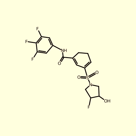 O=C(Nc1cc(F)c(F)c(F)c1)C1=CC(S(=O)(=O)N2CC(O)C(F)C2)=CCC1